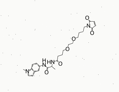 CC(NC(=O)CCCOCCOCCCCN1C(=O)C=CC1=O)C(=O)Nc1ccc2c(ccn2C)c1